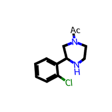 CC(=O)N1CCNC(c2ccccc2Cl)C1